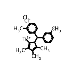 CC1=C(C)C(C(c2cccc(C)c2)c2cccc(C)c2)[C]([Ti+3])=C1C.[Cl-].[Cl-].[Cl-]